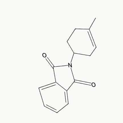 CC1=CCC(N2C(=O)c3ccccc3C2=O)CC1